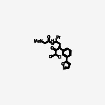 CNCC(=O)N[C@H](CN(C(=O)C(Cl)Cl)c1cccc(-c2ccno2)c1)C(C)C